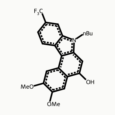 CCCCn1c2cc(C(F)(F)F)ccc2c2c3cc(OC)c(OC)cc3c(O)cc21